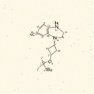 CC(C)(C)[Si](C)(C)OC1CC(N2CCNc3ccc(C#N)cc32)C1